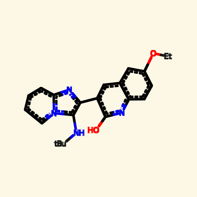 CCOc1ccc2nc(O)c(-c3nc4ccccn4c3NC(C)(C)C)cc2c1